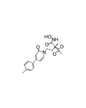 Cc1ccc(-c2ccn(CC[C@](C)(C(=O)NO)S(C)(=O)=O)c(=O)c2)cc1